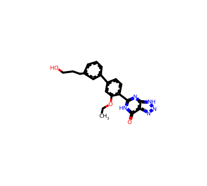 CCOc1cc(-c2cccc(CCCO)c2)ccc1-c1nc2[nH]nnc2c(=O)[nH]1